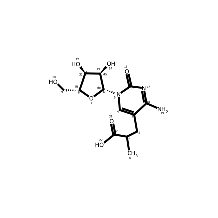 CC(Cc1cn([C@@H]2O[C@H](CO)[C@@H](O)[C@H]2O)c(=O)nc1N)C(=O)O